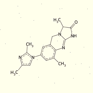 Cc1cn(-c2cc(C)c3c(c2)CN2C(=N3)NC(=O)C2C)c(C)n1